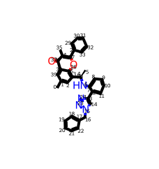 Cc1cc([C@@H](C)Nc2ccccc2-c2cn(Cc3ccccc3)nn2)c2oc(-c3ccccc3)c(C)c(=O)c2c1